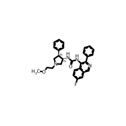 COCCN1C[C@@H](NC(=O)Nc2c(-c3ccccc3)ncc3cc(F)ccc23)[C@H](c2ccccc2)C1